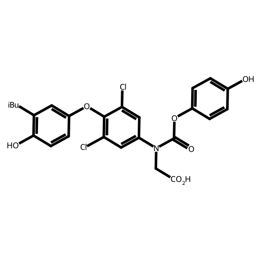 CCC(C)c1cc(Oc2c(Cl)cc(N(CC(=O)O)C(=O)Oc3ccc(O)cc3)cc2Cl)ccc1O